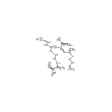 C=COCCC(C)C=C(C)C(=O)O.C=COCCCCCC(=C)C(=O)O